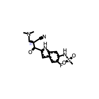 CN(C)/C=C(\C#N)C(=O)c1cc2cc(F)c(NS(C)(=O)=O)cc2[nH]1